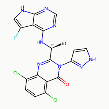 CC[C@H](Nc1ncnc2[nH]cc(F)c12)c1nc2c(Cl)ccc(Cl)c2c(=O)n1-c1cc[nH]n1